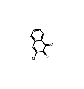 O=C1C(=O)c2ccccc2C=C1Cl